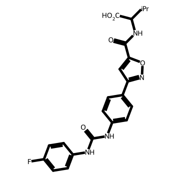 CC(C)C(NC(=O)c1cc(-c2ccc(NC(=O)Nc3ccc(F)cc3)cc2)no1)C(=O)O